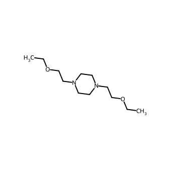 CCOCCN1CCN(CCOCC)CC1